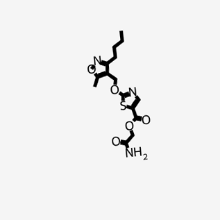 CCCCc1noc(C)c1COc1ncc(C(=O)OCC(N)=O)s1